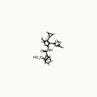 Cc1noc(-c2c(NC(=O)C3=C(C(=O)O)C4CCC3CC4)sc(C)c2C2CC2)n1